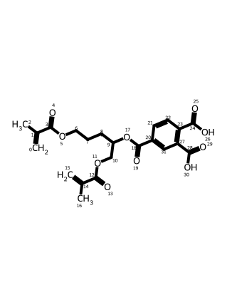 C=C(C)C(=O)OCC[CH]C(COC(=O)C(=C)C)OC(=O)c1ccc(C(=O)O)c(C(=O)O)c1